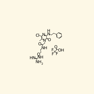 Cc1c(Cl)nc(NCCc2ccccc2)c(=O)n1CC(=O)NCCONC(=N)N.O=C(O)C(F)(F)F